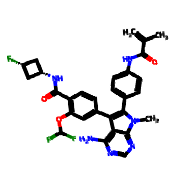 C=C(C)C(=O)Nc1ccc(-c2c(-c3ccc(C(=O)N[C@H]4C[C@@H](F)C4)c(OC(F)F)c3)c3c(N)ncnc3n2C)cc1